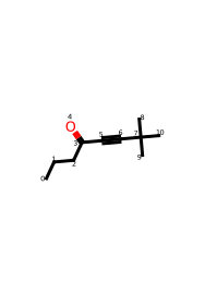 CCCC(=O)C#CC(C)(C)C